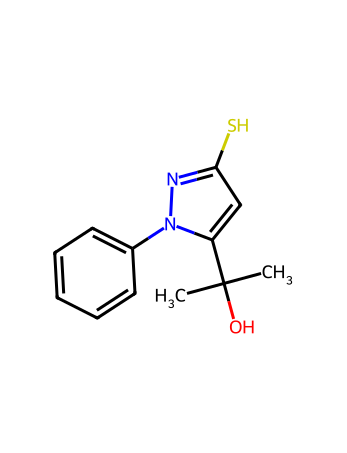 CC(C)(O)c1cc(S)nn1-c1ccccc1